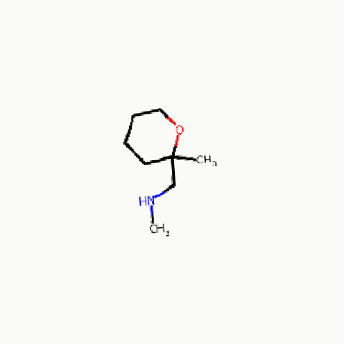 CNCC1(C)CCCCO1